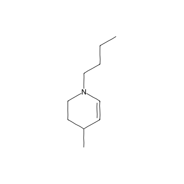 CCCCN1C=CC(C)CC1